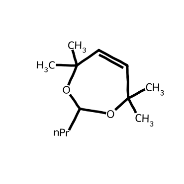 CCCC1OC(C)(C)C=CC(C)(C)O1